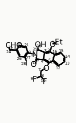 CCOc1c2c(c(OCC(F)F)c3ccccc13)C(=O)N(c1ccc(CC=O)cc1I)C2O